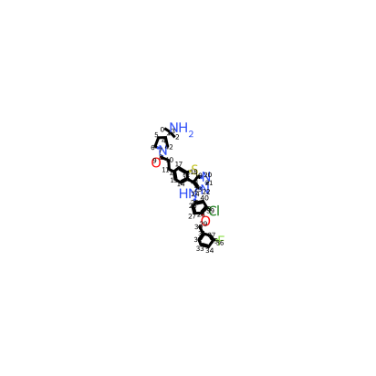 CC(C)(N)[C@H]1CCN(C(=O)CCc2ccc3c(c2)sc2ncnc(Nc4ccc(OCc5cccc(F)c5)c(Cl)c4)c23)C1